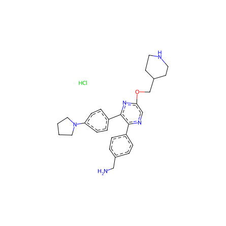 Cl.NCc1ccc(-c2ncc(OCC3CCNCC3)nc2-c2ccc(N3CCCC3)cc2)cc1